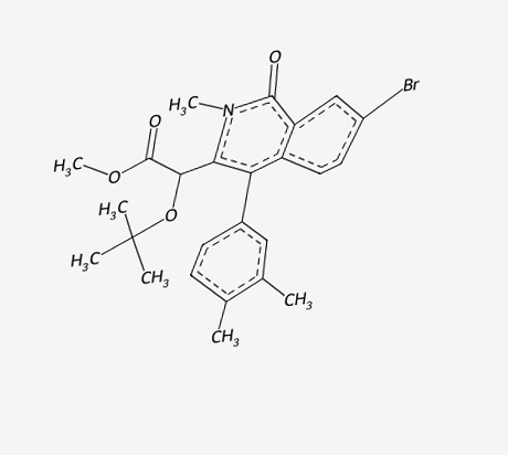 COC(=O)C(OC(C)(C)C)c1c(-c2ccc(C)c(C)c2)c2ccc(Br)cc2c(=O)n1C